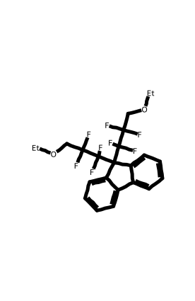 CCOCC(F)(F)C(F)(F)C1(C(F)(F)C(F)(F)COCC)c2ccccc2-c2ccccc21